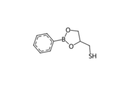 SCC1COB(c2ccccc2)O1